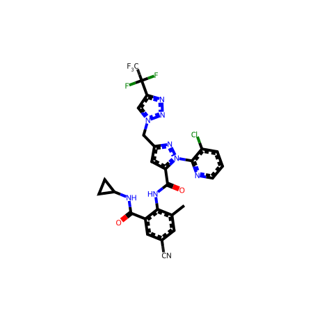 Cc1cc(C#N)cc(C(=O)NC2CC2)c1NC(=O)c1cc(Cn2cc(C(F)(F)C(F)(F)F)nn2)nn1-c1ncccc1Cl